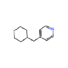 [CH](c1ccncc1)C1CCCCC1